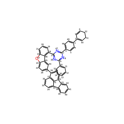 C1=CC(c2ccc(-c3nc(-c4ccccc4)nc(-c4cccc5oc6ccc(-c7ccc8c9c(cccc79)-c7ccccc7-8)cc6c45)n3)cc2)=CCC1